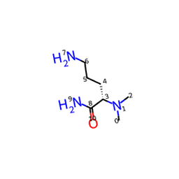 CN(C)[C@@H](CCCN)C(N)=O